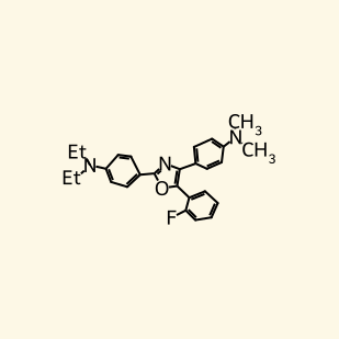 CCN(CC)c1ccc(-c2nc(-c3ccc(N(C)C)cc3)c(-c3ccccc3F)o2)cc1